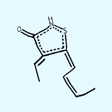 C\C=C/C=c1/s[nH]c(=O)/c1=C/C